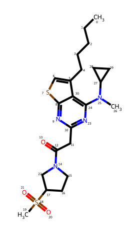 CCCCCc1csc2nc(CC(=O)N3CCC(S(C)(=O)=O)C3)nc(N(C)C3CC3)c12